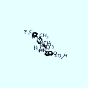 CC1CN(C(C)(C)C(=O)NC2C3CC4CC2CC(OC(=O)O)(C4)C3)CCN1c1ccc(C(F)(F)F)cn1